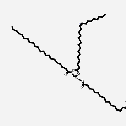 CCCCC/C=C\C/C=C\CCCCCCCCCCCC(=O)OC[C@H](COC(=O)CCCCCCCCCCCCCCCCCCCCC)OC(=O)CCCCCCCCCCCCC/C=C\CCCCCCCC